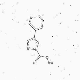 CC(C)(C)OC(=O)n1cc(-c2ccccc2)cn1